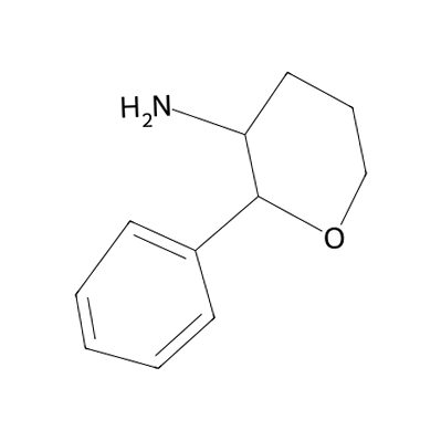 NC1CCCOC1c1ccccc1